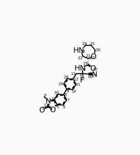 Cn1c(=O)oc2ccc(-c3ccc(C[C@](F)(C#N)NC(=O)[C@@H]4CNCCCO4)cc3)cc21